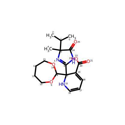 CC(C)C1(C)N=C(C2(C3OCCCCO3)NC=CC=C2C(=O)O)NC1=O